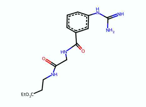 CCOC(=O)CCNC(=O)CNC(=O)c1cccc(NC(=N)N)c1